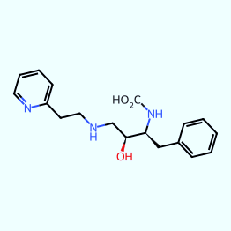 O=C(O)N[C@@H](Cc1ccccc1)[C@@H](O)CNCCc1ccccn1